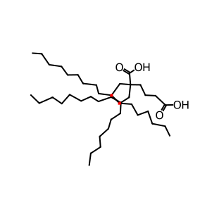 CCCCCCCCCC(CCCCCCC)CC(CCCC(=O)O)(CC(CCCCCCC)CCCCCCCCC)C(=O)O